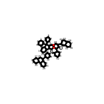 c1ccc(C2(c3ccccc3)c3ccccc3-c3c(N(c4ccc(-c5cc6ccccc6c6ccccc56)cc4)c4ccccc4-c4cccc5c4oc4c6ccccc6ccc54)cccc32)cc1